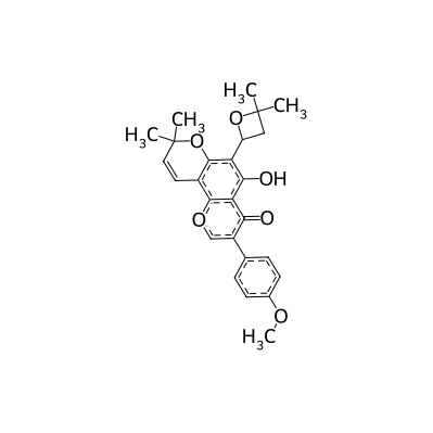 COc1ccc(-c2coc3c4c(c(C5CC(C)(C)O5)c(O)c3c2=O)OC(C)(C)C=C4)cc1